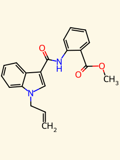 C=CCn1cc(C(=O)Nc2ccccc2C(=O)OC)c2ccccc21